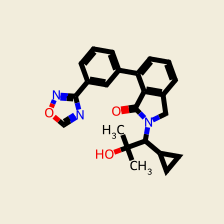 CC(C)(O)C(C1CC1)N1Cc2cccc(-c3cccc(-c4ncon4)c3)c2C1=O